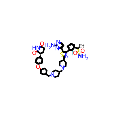 CCC(c1cccc(-c2nc(C3CCN(CC4CCN(CC5CCC(Oc6ccc([C@@H]7CCC(=O)NC7=O)cc6)CC5)CC4)CC3)sc2-c2ccnc(N)n2)c1F)S(N)(=O)=O